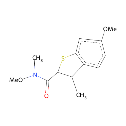 COc1ccc2c(c1)SC(C(=O)N(C)OC)C2C